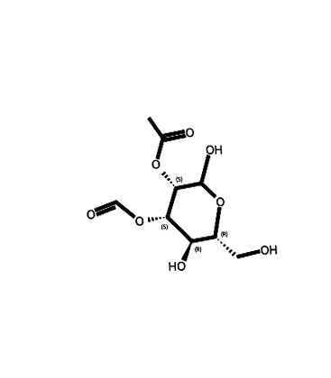 CC(=O)O[C@@H]1C(O)O[C@H](CO)[C@@H](O)[C@@H]1OC=O